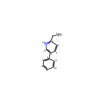 CC(C)Cc1ccc(-c2ccccc2)cn1